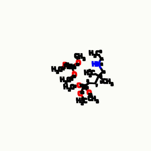 CCNCC(C)(C)CC[Si](OC)(OC)OC.CO[SiH](OC)OC